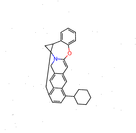 C1=C2Oc3ccccc3C3CC34Cc3ccc(C5CCCCC5)c5cc1c(cc35)CN24